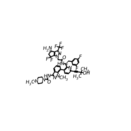 CN1CCN(C(=O)Nc2nn(C)c3c(-c4ccc(C#CC(C)(C)O)nc4[C@H](Cc4cc(F)cc(F)c4)NC(=O)Cn4nc(C(F)(F)F)c5c4C(F)(F)C[C@@H]5N)cccc23)CC1